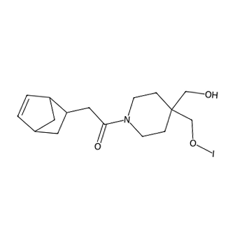 O=C(CC1CC2C=CC1C2)N1CCC(CO)(COI)CC1